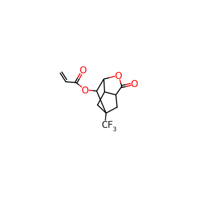 C=CC(=O)OC1C2OC(=O)C3CC1(C(F)(F)F)CC32